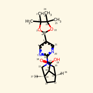 CC1(C)OB(c2cnc(N3C[C@H]4CC[C@@H](C3)C4C(=O)O)nc2)OC1(C)C